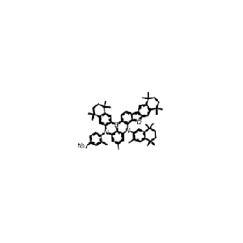 Cc1cc2c3c(c1)N(c1cc4c(cc1C)C(C)(C)CCC4(C)C)c1c(ccc4c1oc1cc5c(cc14)C(C)(C)CCC5(C)C)B3c1cc3c(cc1N2c1ccc(C(C)(C)C)cc1C)C(C)(C)CCC3(C)C